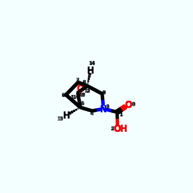 O=C(O)N1C[C@H]2CC[C@@H](C1)[C@]21CO1